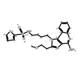 COCCc1nc2c(N)nc3ccccc3c2n1CCCCNS(=O)(=O)c1cccs1